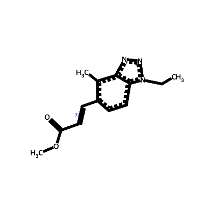 CCn1nnc2c(C)c(/C=C/C(=O)OC)ccc21